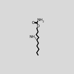 CCCCCCCCCCOC(N)=O.N